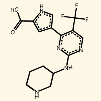 O=C(O)c1cc(-c2nc(NC3CCCNC3)ncc2C(F)(F)F)c[nH]1